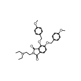 CCN(CC)CCN1C(=O)c2ccc(OCc3ccc(OC)cc3)c(OCc3ccc(OC)cc3)c2C1=O